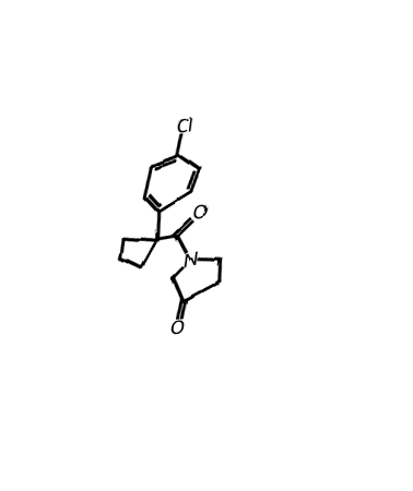 O=C1CCN(C(=O)C2(c3ccc(Cl)cc3)CCC2)C1